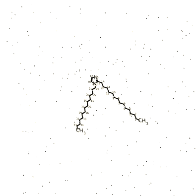 CCCCCCCCCCCCCCCc1nccn1CCCCCCCCCCCCCCC